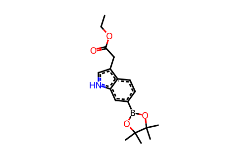 CCOC(=O)Cc1c[nH]c2cc(B3OC(C)(C)C(C)(C)O3)ccc12